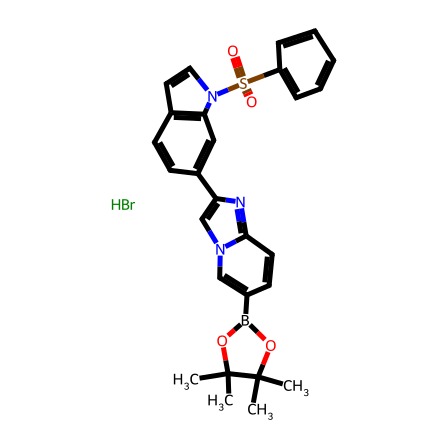 Br.CC1(C)OB(c2ccc3nc(-c4ccc5ccn(S(=O)(=O)c6ccccc6)c5c4)cn3c2)OC1(C)C